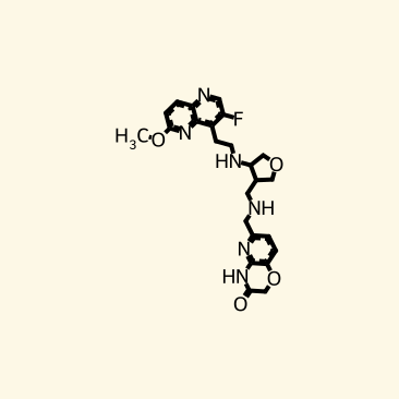 COc1ccc2ncc(F)c(CCNC3COCC3CNCc3ccc4c(n3)NC(=O)CO4)c2n1